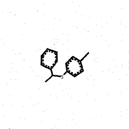 [CH2]C(Sc1ccc(C)cc1)c1ccccc1